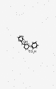 O=C(O)[C@@H]1CC[C@](O)(Cc2cnccn2)C[C@H]1c1ccccc1